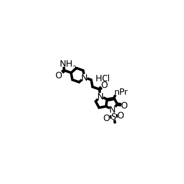 CCCC1=C2C(CCN2C(=O)CCN2CCC(C(N)=O)CC2)N(S(C)(=O)=O)C1=O.Cl